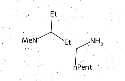 CCC(CC)NC.CCCCCCN